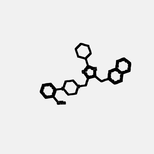 COc1ccccc1N1CCN(Cc2oc(C3CCCCC3)nc2Cc2ccc3ccccc3c2)CC1